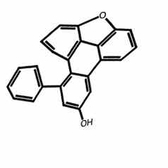 Oc1cc(-c2ccccc2)c2c(c1)c1cccc3oc4cccc2c4c31